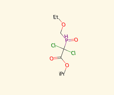 CCOC[PH](=O)C(Cl)(Cl)C(=O)OC(C)C